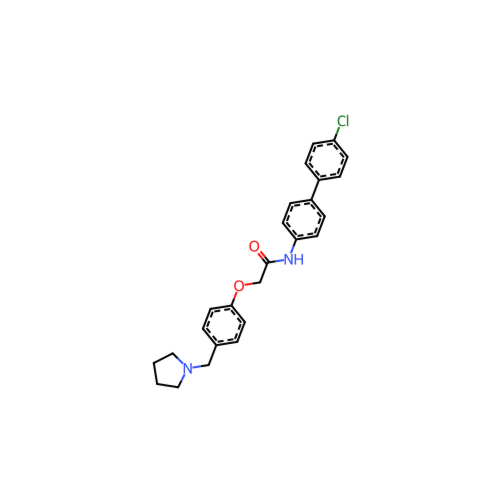 O=C(COc1ccc(CN2CCCC2)cc1)Nc1ccc(-c2ccc(Cl)cc2)cc1